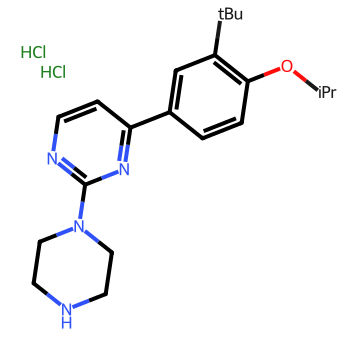 CC(C)Oc1ccc(-c2ccnc(N3CCNCC3)n2)cc1C(C)(C)C.Cl.Cl